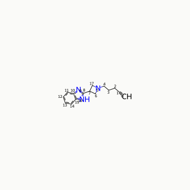 C#CCCCN1CC(c2nc3ccccc3[nH]2)C1